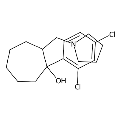 OC1(c2ccc(Cl)cc2Cl)CCCCCC1CN1CCCC1